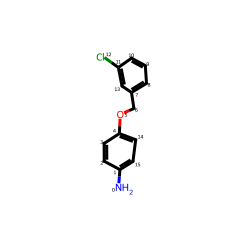 Nc1ccc(OCc2cccc(Cl)c2)cc1